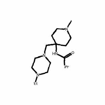 CCN1CCN(CC2(NC(=O)C(C)C)CCN(C)CC2)CC1